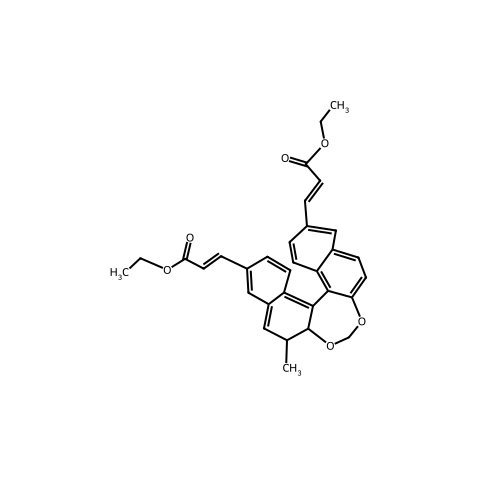 CCOC(=O)/C=C/c1ccc2c(c1)=CC(C)C1OCOc3ccc4cc(/C=C/C(=O)OCC)ccc4c3C=21